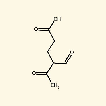 CC(=O)C(C=O)CCC(=O)O